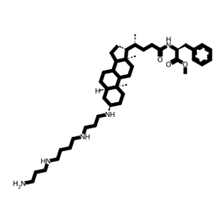 COC(=O)[C@H](Cc1ccccc1)NC(=O)CC[C@@H](C)[C@H]1CCC2C3CC[C@@H]4C[C@@H](NCCCNCCCCNCCCN)CC[C@]4(C)C3CC[C@@]21C